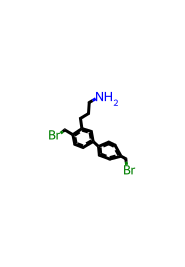 NCCCc1cc(-c2ccc(CBr)cc2)ccc1CBr